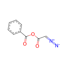 [N-]=[N+]=CC(=O)OC(=O)c1ccccc1